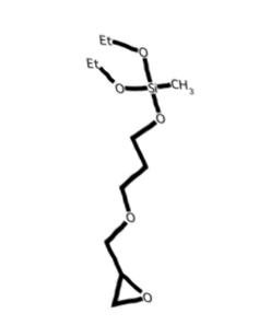 CCO[Si](C)(OCC)OCCCOCC1CO1